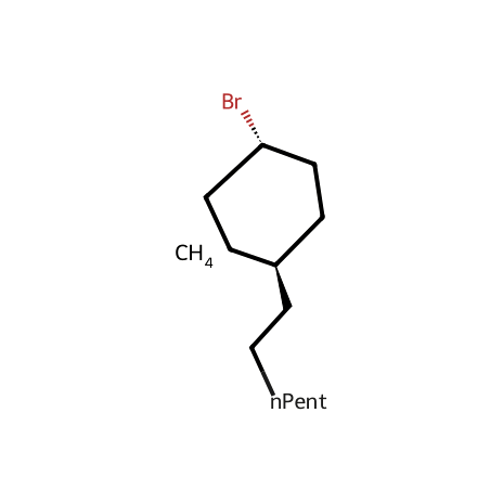 C.CCCCCCC[C@H]1CC[C@H](Br)CC1